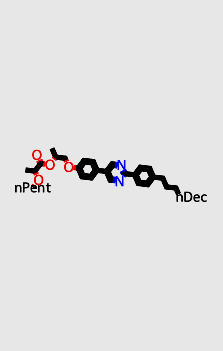 CCCCCCCCCCCCCc1ccc(-c2ncc(-c3ccc(OCC(C)OC(=O)C(C)OCCCCC)cc3)cn2)cc1